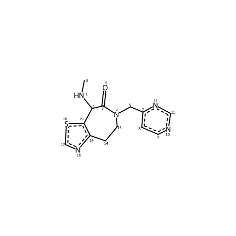 CNC1C(=O)N(Cc2ccncn2)CCc2ncsc21